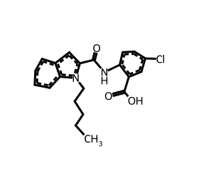 CCCCCn1c(C(=O)Nc2ccc(Cl)cc2C(=O)O)cc2ccccc21